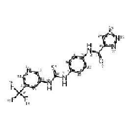 O=C(Nc1ccc(NC(=S)Nc2cncc(C(F)(F)F)c2)cc1)c1csnn1